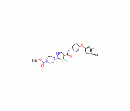 CC(C)(C)OC(=O)N1CCN(c2cc(F)c(C(=O)N[C@H]3CC[C@H](Oc4ccc(C#N)c(Cl)c4)CC3)cn2)CC1